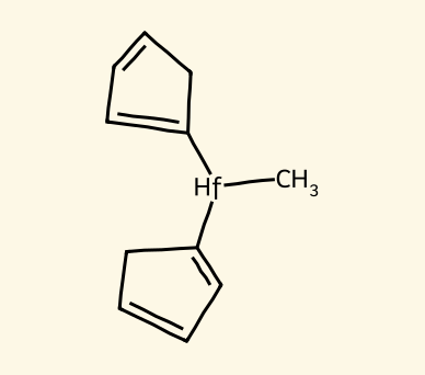 [CH3][Hf]([C]1=CC=CC1)[C]1=CC=CC1